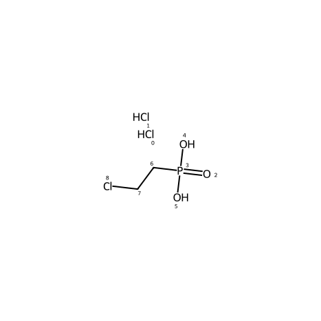 Cl.Cl.O=P(O)(O)CCCl